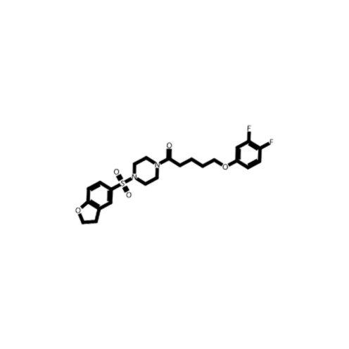 O=C(CCCCOc1ccc(F)c(F)c1)N1CCN(S(=O)(=O)c2ccc3c(c2)CCO3)CC1